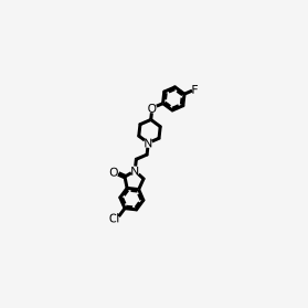 O=C1c2cc(Cl)ccc2CN1CCN1CCC(Oc2ccc(F)cc2)CC1